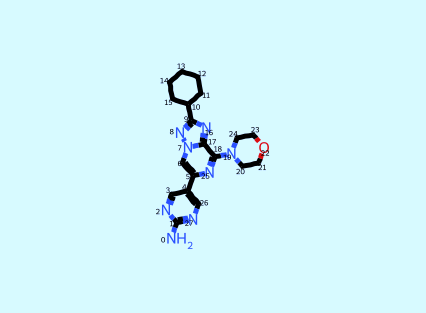 Nc1ncc(-c2cn3nc(C4CCCCC4)nc3c(N3CCOCC3)n2)cn1